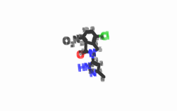 Cc1cc(N2Cc3c(Cl)ccc([N+](=O)[O-])c3C2=O)[nH]n1